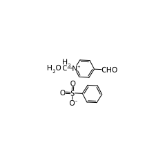 C[n+]1ccc(C=O)cc1.O.O=S(=O)([O-])c1ccccc1